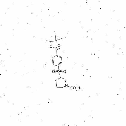 CC1(C)OB(c2ccc(S(=O)(=O)C3CCCN(C(=O)O)C3)cc2)OC1(C)C